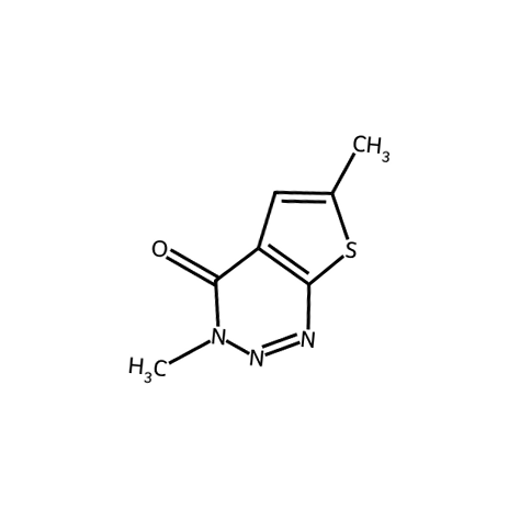 Cc1cc2c(=O)n(C)nnc2s1